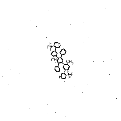 Cc1ccc(-c2cnccc2C(F)(F)F)cc1-c1cc(-c2ccccc2)c(-c2cc(-c3cnccc3C(F)(F)F)ccc2C)cc1-c1ccccc1